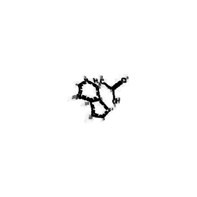 CC(=O)O.c1ncc2sccc2n1